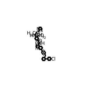 CC(C)(CSc1ncccn1)Nc1ccc(S(=O)(=O)Nc2ncnc3cc(N4CCN(Cc5ccccc5-c5ccc(Cl)cc5)CC4)ccc23)cc1[N+](=O)[O-]